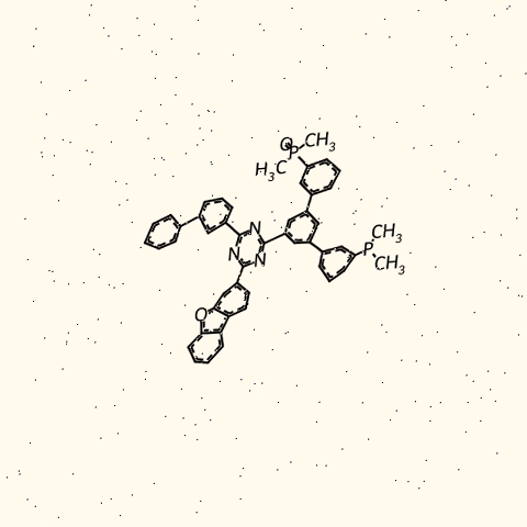 CP(C)c1cccc(-c2cc(-c3cccc(P(C)(C)=O)c3)cc(-c3nc(-c4cccc(-c5ccccc5)c4)nc(-c4ccc5c(c4)oc4ccccc45)n3)c2)c1